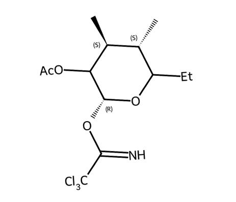 CCC1O[C@H](OC(=N)C(Cl)(Cl)Cl)C(OC(C)=O)[C@@H](C)[C@@H]1C